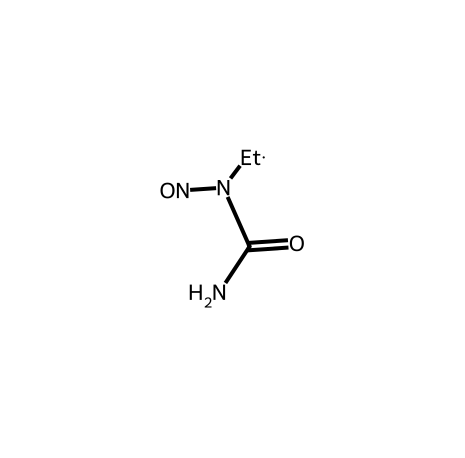 C[CH]N(N=O)C(N)=O